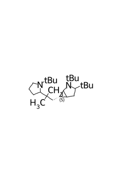 CC(C)(C)C1CC2C([C@H]2CC(C)(C)C2CCCN2C(C)(C)C)N1C(C)(C)C